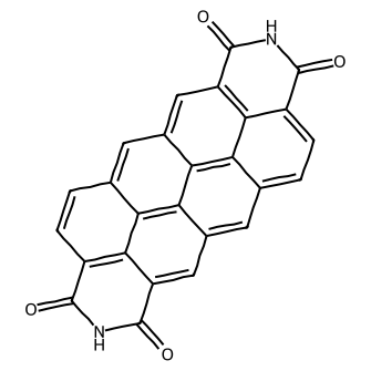 O=c1[nH]c(=O)c2cc3cc4ccc5c(=O)[nH]c(=O)c6cc7cc8ccc1c2c8c3c7c4c56